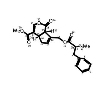 CN[C@@H](Cc1ccccc1)C(=O)OCC1=CC[C@@H]2C(C(=O)OC)=COC(=O)[C@H]12